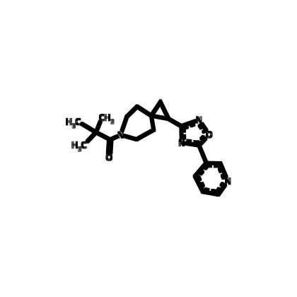 CC(C)(C)C(=O)N1CCC2(CC1)CC2c1noc(-c2cccnc2)n1